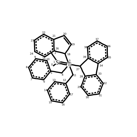 C[Si](C)=[Ti]([CH2]c1ccccc1)([CH2]c1ccccc1)([CH]1C=Cc2ccccc21)[CH]1c2ccccc2-c2ccccc21